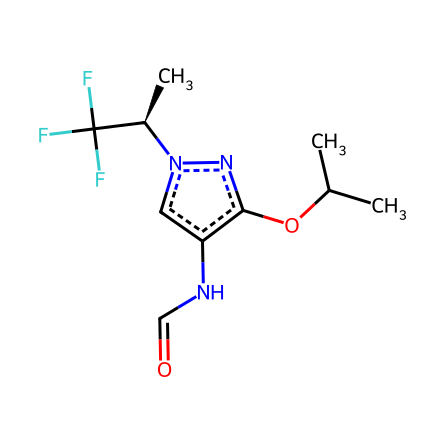 CC(C)Oc1nn([C@H](C)C(F)(F)F)cc1NC=O